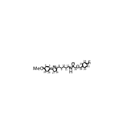 COc1ccc(C2=NC(CCCCCNC(=O)COCc3ccc(F)cc3)=CC2)cc1